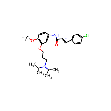 COc1ccc(NC(=O)/C=C/c2ccc(Cl)cc2)cc1OCCCN(C(C)C)C(C)C